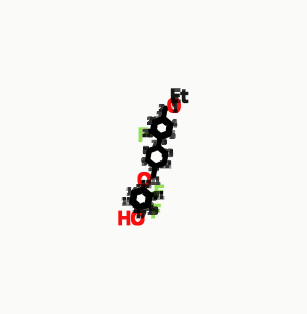 CCOCc1ccc(C2CCC(COc3ccc(O)c(F)c3F)CC2)c(F)c1